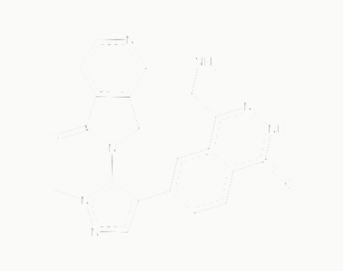 Cn1ncc(-c2ccc3c(=O)[nH]nc(CN)c3c2)c1N1Cc2cnccc2C1=O